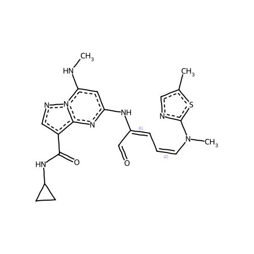 CNc1cc(N/C(C=O)=C/C=C\N(C)c2ncc(C)s2)nc2c(C(=O)NC3CC3)cnn12